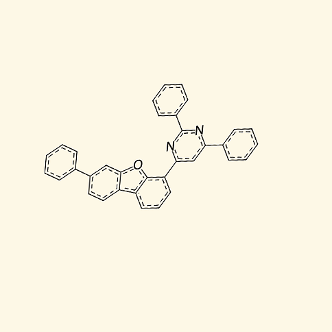 c1ccc(-c2ccc3c(c2)oc2c(-c4cc(-c5ccccc5)nc(-c5ccccc5)n4)cccc23)cc1